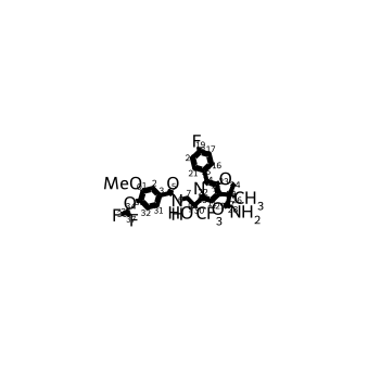 COc1cc(C(=O)NC[C@](O)(c2cc3c(c(-c4ccc(F)cc4)n2)OC[C@]3(C)C(N)=O)C(F)(F)F)ccc1OC(F)F